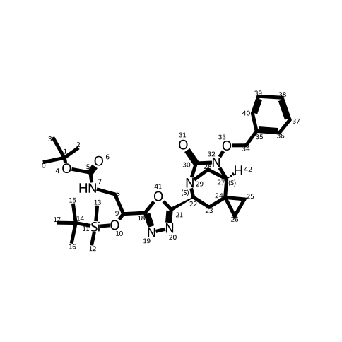 CC(C)(C)OC(=O)NCC(O[Si](C)(C)C(C)(C)C)c1nnc([C@@H]2CC3(CC3)[C@H]3CN2C(=O)N3OCc2ccccc2)o1